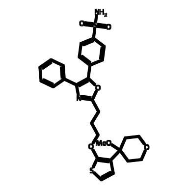 COC1(c2ccsc2OCCCc2nc(-c3ccccc3)c(-c3ccc(S(N)(=O)=O)cc3)o2)CCOCC1